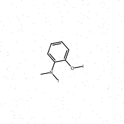 CN(I)c1ccccc1OI